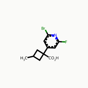 CC1CC(C(=O)O)(c2cc(F)nc(Br)c2)C1